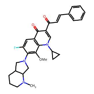 COc1c(N2CC3CCCN(C)C3C2)c(F)cc2c(=O)c(C(=O)/C=C/c3ccccc3)cn(C3CC3)c12